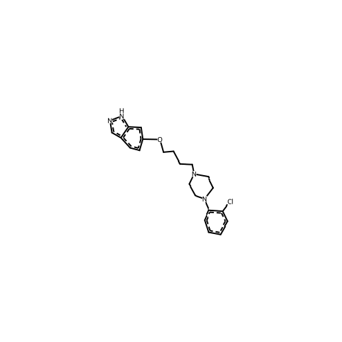 Clc1ccccc1N1CCN(CCCCOc2ccc3cn[nH]c3c2)CC1